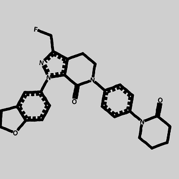 O=C1CCCCN1c1ccc(N2CCc3c(CF)nn(-c4ccc5c(c4)CCO5)c3C2=O)cc1